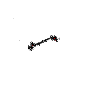 C[C@H]1C=C2C=C[C@H](C)[C@H](CC[C@@H]3C[C@@H](O)CC(=O)O3)[C@H]2[C@@H](OC(=O)C(C)(C)CCC(=O)NCCOCCOCCOCCOCCOCCNc2cccc3c2C(=O)N(C2CCC(=O)NC2=O)C3=O)C1